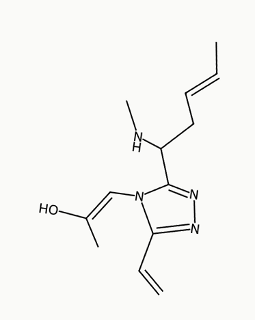 C=Cc1nnc(C(C/C=C/C)NC)n1/C=C(\C)O